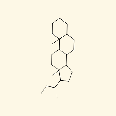 CC[C@@H](C)C1CCC2C3CCC4CCCCC4(C)C3CCC21C